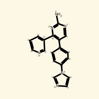 Nc1ncc(-c2ccc(-n3ccnc3)cc2)c(-c2cccnc2)n1